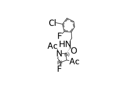 [CH2]C(=O)N1C[C@H](F)C(C(C)=O)[C@H]1C(=O)NCc1cccc(Cl)c1F